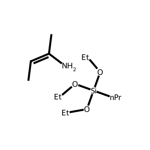 CC=C(C)N.CCC[Si](OCC)(OCC)OCC